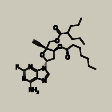 C#C[C@]1(COC(=O)C(CCC)CCC)O[C@@H](n2cnc3c(N)nc(F)nc32)C[C@@H]1OC(=O)CCCCCC